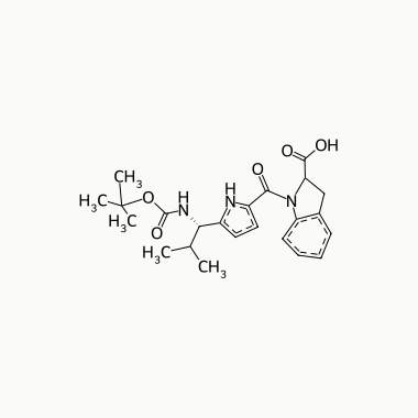 CC(C)[C@H](NC(=O)OC(C)(C)C)c1ccc(C(=O)N2c3ccccc3CC2C(=O)O)[nH]1